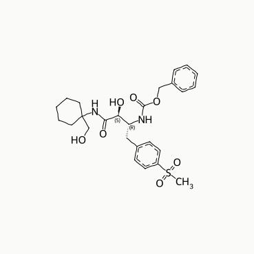 CS(=O)(=O)c1ccc(C[C@@H](NC(=O)OCc2ccccc2)[C@H](O)C(=O)NC2(CO)CCCCC2)cc1